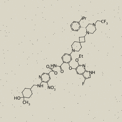 CCOc1nc2[nH]cc(F)c2cc1Oc1cc(N2CCC3(CC2)CC(N2CCN(CC(F)(F)F)C[C@H]2c2ccccc2C(C)C)C3)ccc1C(=O)NS(=O)(=O)c1cnc(NCC2CCC(C)(O)CC2)c([N+](=O)[O-])c1